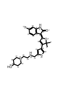 CC1(C)OC(=C2C(=O)Nc3cc(F)ccc32)C=C1c1csc(CNCCN2CCC(O)CC2)c1